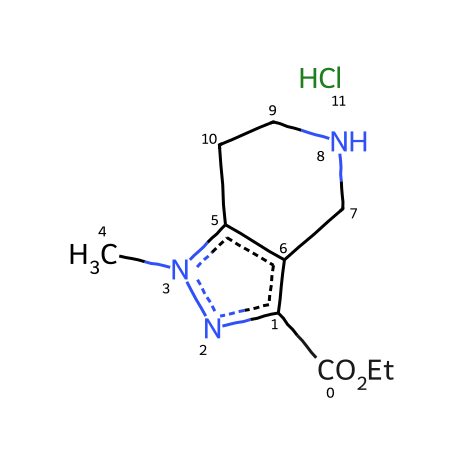 CCOC(=O)c1nn(C)c2c1CNCC2.Cl